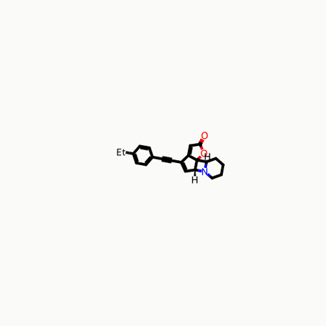 CCc1ccc(C#CC2=C[C@H]3N4CCCC[C@@H]4C34OC(=O)C=C24)cc1